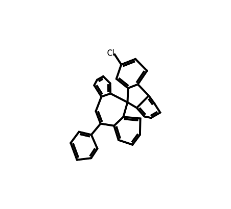 Clc1ccc2c(c1)C1(c3ccccc3C=C(c3ccccc3)c3ccccc31)c1ccccc1-2